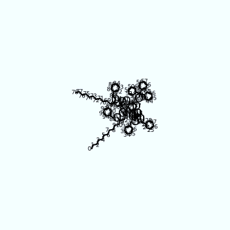 CCCCCCCCCCC[C@H](CC(=O)N[C@H]1[C@@H](OP(=O)(OCc2ccccc2)OCc2ccccc2)O[C@H](COC(c2ccccc2)(c2ccccc2)c2ccccc2)[C@@H](O)[C@@H]1OC(=O)C[C@@H](CCCCCCCCCCC)OCc1ccccc1)OCc1ccccc1